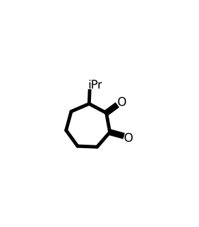 CC(C)C1CCCCC(=O)C1=O